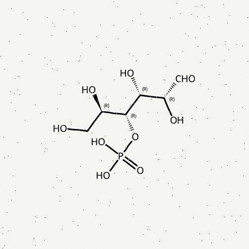 O=C[C@H](O)[C@@H](O)[C@H](OP(=O)(O)O)[C@H](O)CO